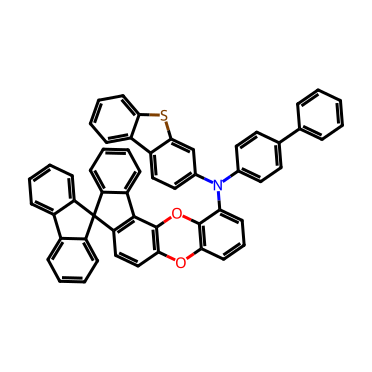 c1ccc(-c2ccc(N(c3ccc4c(c3)sc3ccccc34)c3cccc4c3Oc3c(ccc5c3-c3ccccc3C53c5ccccc5-c5ccccc53)O4)cc2)cc1